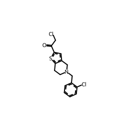 O=C(CCl)c1cc2c(s1)CCN(Cc1ccccc1Cl)C2